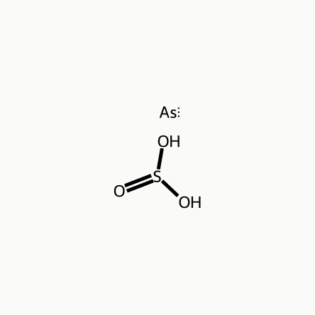 O=S(O)O.[As]